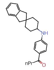 CCCC(=O)c1ccc(NC2CCC3(CC2)Cc2ccccc2C3)cc1